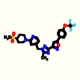 Cc1nc(-c2cc(-c3ccc(OC(F)(F)F)cc3)on2)nn1Cc1ccnc(N2CCC(S(C)(=O)=O)CC2)c1